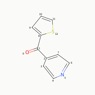 O=C(c1ccncc1)c1cccs1